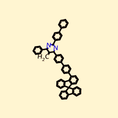 C=C1C(c2ccccc2)=NC(c2ccc(-c3ccccc3)cc2)=NC1c1ccc(-c2ccc(-c3cccc4c3-c3ccccc3C43c4ccccc4-c4ccccc43)cc2)cc1